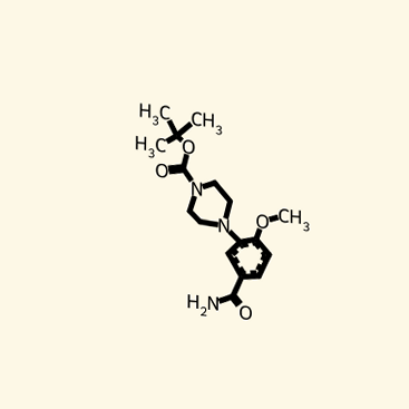 COc1ccc(C(N)=O)cc1N1CCN(C(=O)OC(C)(C)C)CC1